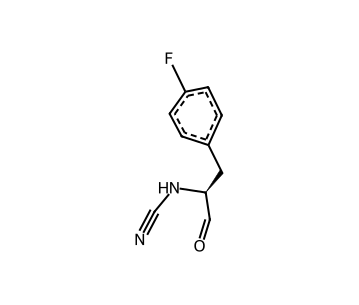 N#CN[C@H](C=O)Cc1ccc(F)cc1